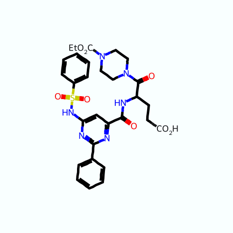 CCOC(=O)N1CCN(C(=O)C(CCC(=O)O)NC(=O)c2cc(NS(=O)(=O)c3ccccc3)nc(-c3ccccc3)n2)CC1